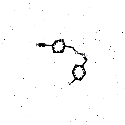 N#Cc1ccc(CO/N=[C]\c2ccc(Br)cc2)cc1